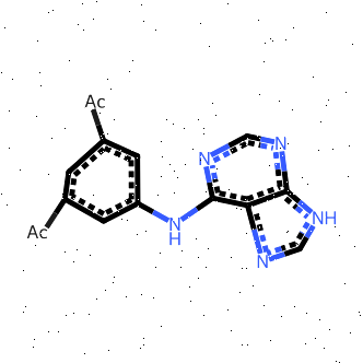 CC(=O)c1cc(Nc2ncnc3[nH]cnc23)cc(C(C)=O)c1